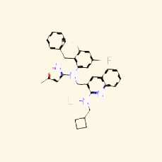 CCN(CC1CCC1)c1nc2ccccc2cc1CN(c1cc(C)on1)c1cc(C(F)(F)F)cc(C(F)(F)F)c1Cc1ccccc1